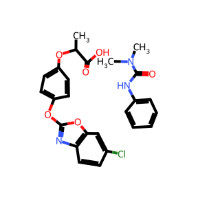 CC(Oc1ccc(Oc2nc3ccc(Cl)cc3o2)cc1)C(=O)O.CN(C)C(=O)Nc1ccccc1